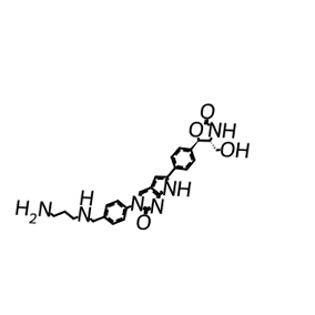 NCCCNCc1ccc(-n2cc3cc(-c4ccc([C@H]5OC(=O)N[C@@H]5CO)cc4)[nH]c3nc2=O)cc1